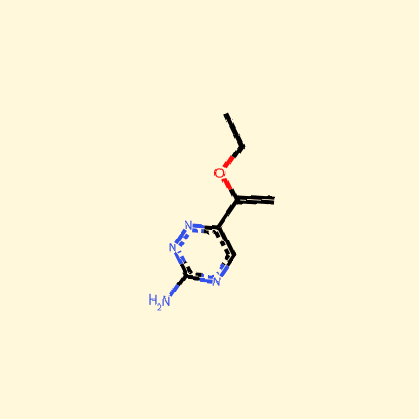 C=C(OCC)c1cnc(N)nn1